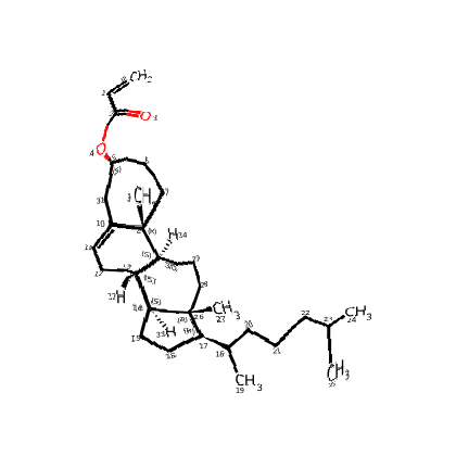 C=CC(=O)O[C@H]1CC[C@@]2(C)C(=CC[C@H]3[C@@H]4CC[C@H](C(C)CCCC(C)C)[C@@]4(C)CC[C@@H]32)C1